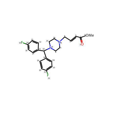 COC(=O)C=CCN1CCN(C(c2ccc(F)cc2)c2ccc(F)cc2)CC1